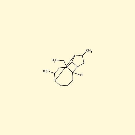 CCC12CC(C)C3CCCC1(S)C1CC(C)C3C12